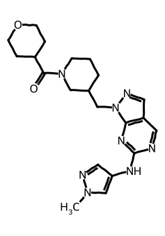 Cn1cc(Nc2ncc3cnn(CC4CCCN(C(=O)C5CCOCC5)C4)c3n2)cn1